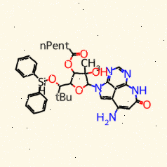 CCCCCC(=O)OC1C(C(O[SiH](c2ccccc2)c2ccccc2)C(C)(C)C)OC(n2cc3c4c(ncnc42)NC(=O)C=C3N)C1(C)O